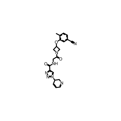 Cc1ccc(C#N)cc1OC1CN(C(=O)CNC(=O)c2cn(C3C=CC=NC3)nn2)C1